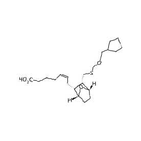 O=C(O)CCC/C=C\C[C@@H]1[C@H](CSCOCC2CCCC2)[C@@H]2CC[C@H]1O2